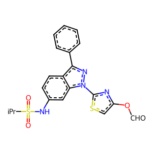 CC(C)S(=O)(=O)Nc1ccc2c(-c3ccccc3)nn(-c3nc(OC=O)cs3)c2c1